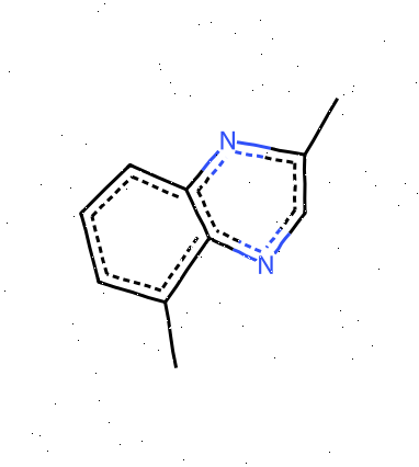 Cc1cnc2c(C)cccc2n1